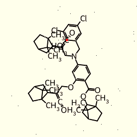 CC1(C)C2CCC1(C)C(OC(=O)c1ccc(N(CC(=C=O)C3CC4CCC3(C)C4(C)C)Cc3cc(Cl)cc(Cl)c3O)cc1OCC(=C=O)C1CC3CCC1(C)C3(C)C)C2